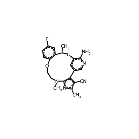 C[C@H]1Oc2cc(cnc2N)-c2c(nn(C)c2C#N)N(C)CCOc2ccc(F)cc21